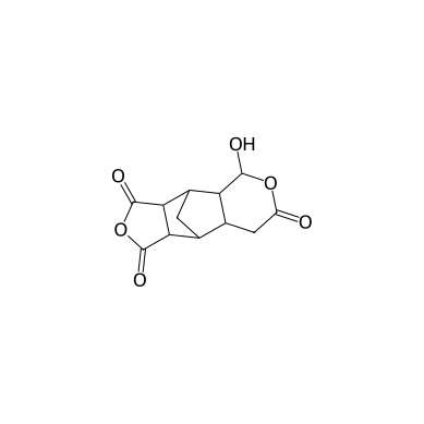 O=C1CC2C3CC(C4C(=O)OC(=O)C34)C2C(O)O1